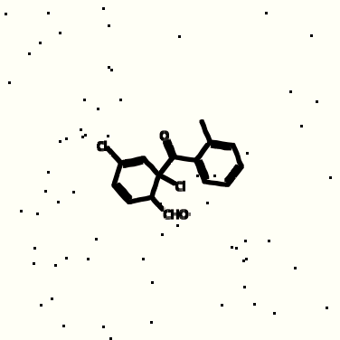 Cc1ccccc1C(=O)C1(Cl)C=C(Cl)C=CC1[C]=O